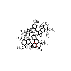 Cc1cc(C(C)(C)C)ccc1N1c2cc([Si](C)(C)C)cc3c2B(c2cc4c(cc2N3c2cc3c(cc2-c2ccccc2)C(C)(C)CCC3(C)C)C(C)(C)CCC4(C)C)c2oc3cc4c(cc3c21)C(C)(C)CCC4(C)C